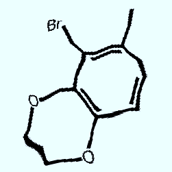 Cc1ccc2c(c1Br)OCCO2